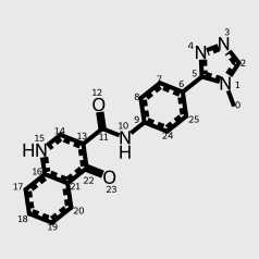 Cn1cnnc1-c1ccc(NC(=O)c2c[nH]c3ccccc3c2=O)cc1